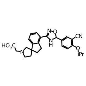 CC(C)Oc1ccc(C2NC(c3cccc4c3CCC43CCN(CC(=O)O)C3)=NO2)cc1C#N